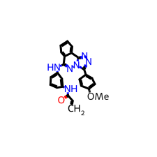 C=CC(=O)Nc1cccc(Nc2nn3c(-c4ccc(OC)cc4)nnc3c3ccccc23)c1